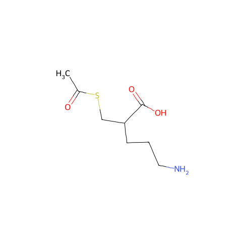 CC(=O)SCC(CCCN)C(=O)O